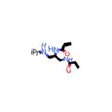 C=CC(=O)NCC(CNC(C)C)NC(=O)C=C